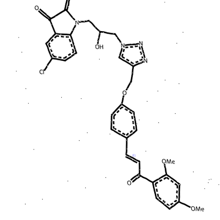 COc1ccc(C(=O)/C=C/c2ccc(OCc3cn(CC(O)CN4C(=O)C(=O)c5cc(Cl)ccc54)nn3)cc2)c(OC)c1